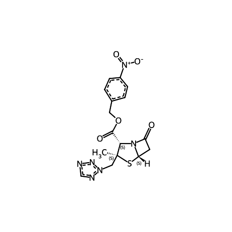 C[C@@]1(Cn2ncnn2)S[C@H]2CC(=O)N2[C@H]1C(=O)OCc1ccc([N+](=O)[O-])cc1